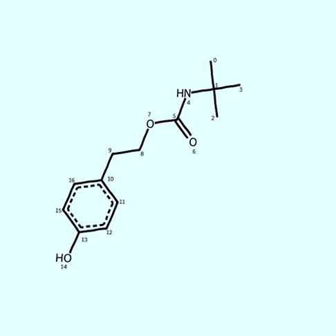 CC(C)(C)NC(=O)OCCc1ccc(O)cc1